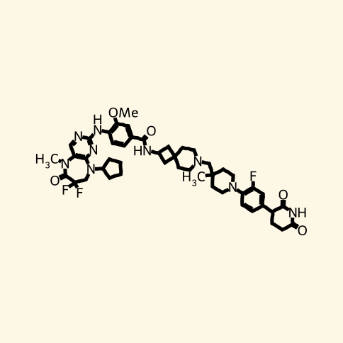 COc1cc(C(=O)NC2CC3(CCN(CC4(C)CCN(c5ccc(C6CCC(=O)NC6=O)cc5F)CC4)CC3)C2)ccc1Nc1ncc2c(n1)N(C1CCCC1)CC(F)(F)C(=O)N2C